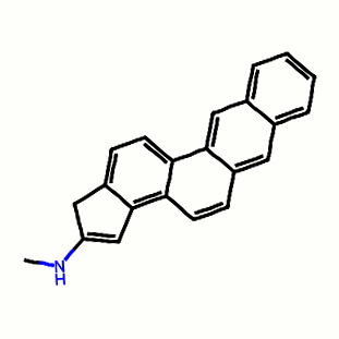 CNC1=Cc2c(ccc3c2ccc2cc4ccccc4cc23)C1